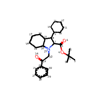 CC(C)(C)OC(=O)C1C(C2CCCCC2)C2CCCCC2N1CC(=O)c1ccccc1